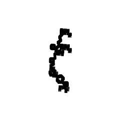 NCCCCC(N)C(=O)NCCOCCN1C=CN(c2ccc(OC(F)F)cc2)C1